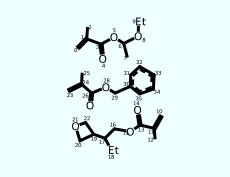 C=C(C)C(=O)OC(C)OCC.C=C(C)C(=O)OCC(CC)C1COC1.C=C(C)C(=O)OCc1ccccc1